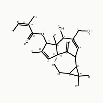 C=C1C2C=C(CO)C(O)C3(C)C(OC(=O)/C(C)=C\C)C(C)=C[C@]13CCC1C2C1(C)C